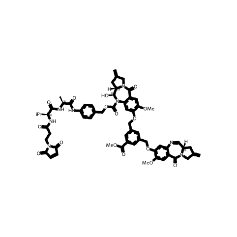 C=C1C[C@H]2C=Nc3cc(OCc4cc(COc5cc6c(cc5OC)C(=O)N5CC(=C)C[C@H]5[C@H](O)N6C(=O)OCc5ccc(NC(=O)[C@H](C)NC(=O)[C@@H](NC(=O)CCN6C(=O)C=CC6=O)C(C)C)cc5)cc(C(=O)OC)c4)c(OC)cc3C(=O)N2C1